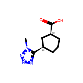 Cn1nnnc1[C@@H]1CCC[C@H](C(=O)O)C1